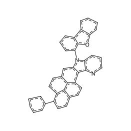 c1ccc(-c2ccc3ccc4c5c(ccc2c35)cc2c4c3ncccc3n2-c2cccc3c2oc2ccccc23)cc1